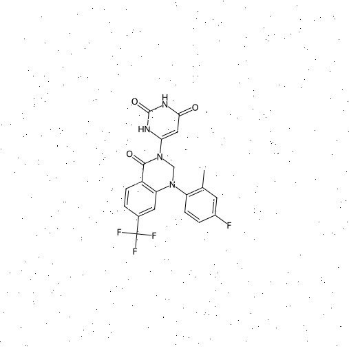 Cc1cc(F)ccc1N1CN(c2cc(=O)[nH]c(=O)[nH]2)C(=O)c2ccc(C(F)(F)F)cc21